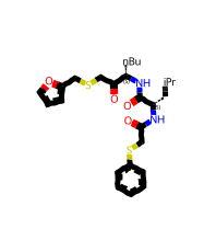 CCCC[C@H](NC(=O)[C@H](CC(C)C)NC(=O)CSc1ccccc1)C(=O)CSCc1ccco1